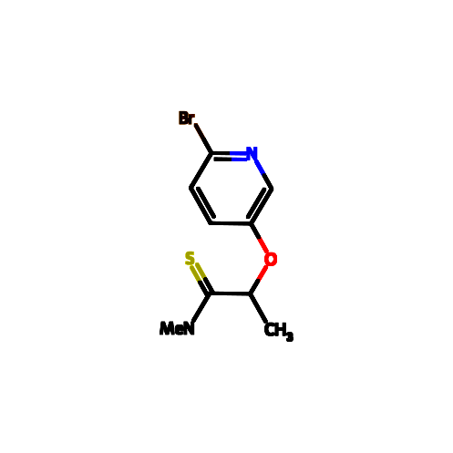 CNC(=S)C(C)Oc1ccc(Br)nc1